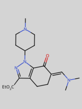 CCOC(=O)c1nn(C2CCN(C)CC2)c2c1CCC(=CN(C)C)C2=O